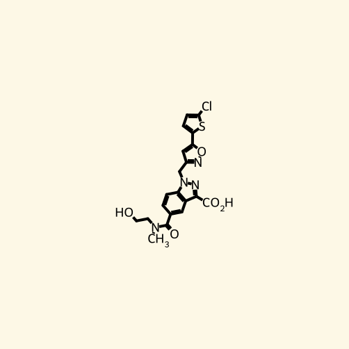 CN(CCO)C(=O)c1ccc2c(c1)c(C(=O)O)nn2Cc1cc(-c2ccc(Cl)s2)on1